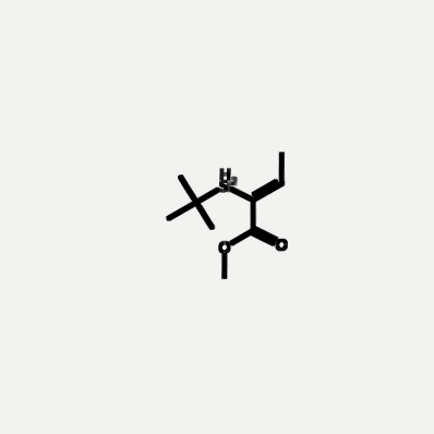 CC=C([SiH2]C(C)(C)C)C(=O)OC